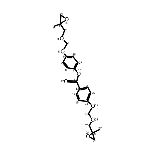 CC1(COCOc2ccc(OC(=O)c3ccc(OCOCC4(C)CO4)cc3)cc2)CO1